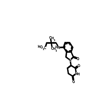 CC(C)(CNc1cccc2c1CN(C1CCC(=O)NC1=O)C2=O)CC(=O)O